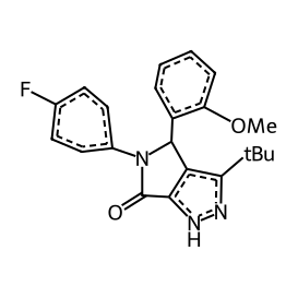 COc1ccccc1C1c2c(C(C)(C)C)n[nH]c2C(=O)N1c1ccc(F)cc1